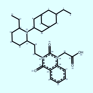 CCC1CC2CC(C1)CC(N1C(CC)CCCC1CCn1c(=O)c3ccccc3n(CC(=O)O)c1=O)C2